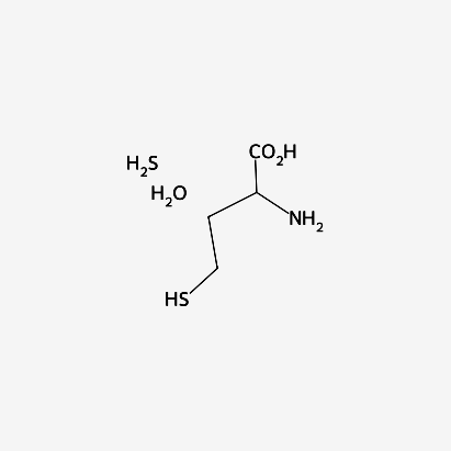 NC(CCS)C(=O)O.O.S